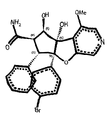 COc1cncc2c1[C@]1(O)[C@H](O)[C@H](C(N)=O)[C@@H](c3ccccc3)[C@]1(c1ccc(Br)cc1)O2